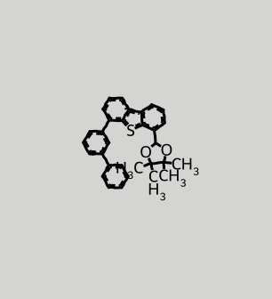 CC1(C)OC(c2cccc3c2sc2c(-c4cccc(-c5ccccc5)c4)cccc23)OC1(C)C